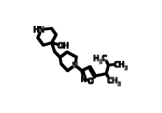 CC(C)C(C)c1cc(N2CCC(CC3(O)CCNCC3)CC2)no1